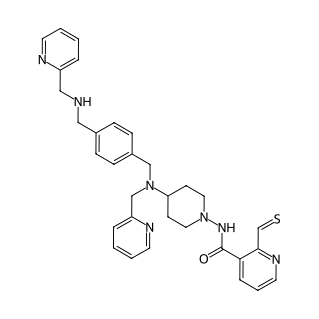 O=C(NN1CCC(N(Cc2ccc(CNCc3ccccn3)cc2)Cc2ccccn2)CC1)c1cccnc1C=S